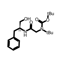 CC(C)(C)OC(=O)N(CC(=O)N[C@H](CO)Cc1ccccc1)C(C)(C)C